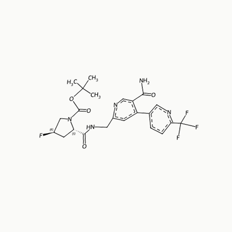 CC(C)(C)OC(=O)N1C[C@H](F)C[C@H]1C(=O)NCc1cc(-c2ccc(C(F)(F)F)nc2)c(C(N)=O)cn1